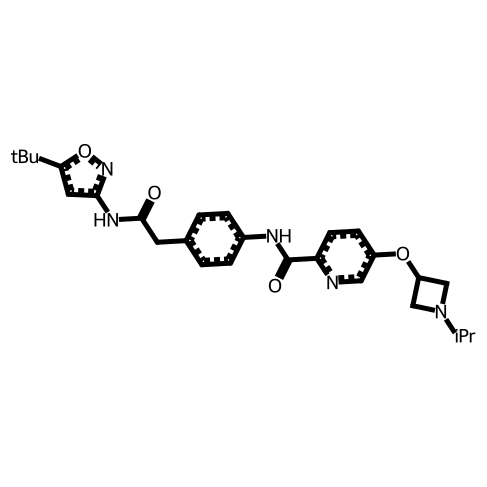 CC(C)N1CC(Oc2ccc(C(=O)Nc3ccc(CC(=O)Nc4cc(C(C)(C)C)on4)cc3)nc2)C1